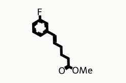 COC(=O)CCCC=Cc1cccc(F)c1